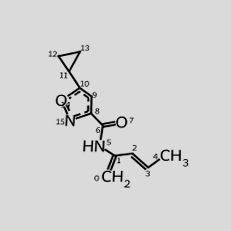 C=C(C=CC)NC(=O)c1cc(C2CC2)on1